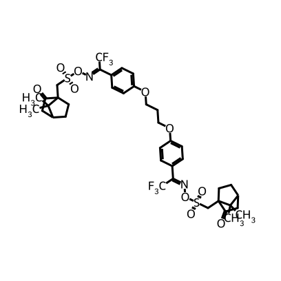 CC1(C)C2CCC1(CS(=O)(=O)O/N=C(/c1ccc(OCCCOc3ccc(/C(=N/OS(=O)(=O)CC45CCC(CC4=O)C5(C)C)C(F)(F)F)cc3)cc1)C(F)(F)F)C(=O)C2